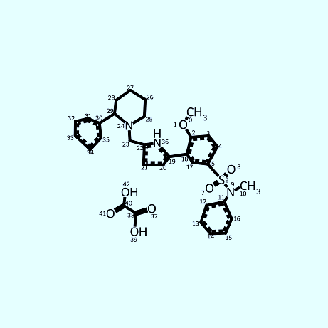 COc1ccc(S(=O)(=O)N(C)c2ccccc2)cc1-c1ccc(CN2CCCCC2c2ccccc2)[nH]1.O=C(O)C(=O)O